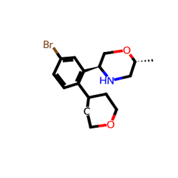 C[C@@H]1CN[C@@H](c2cc(Br)ccc2C2CCOCC2)CO1